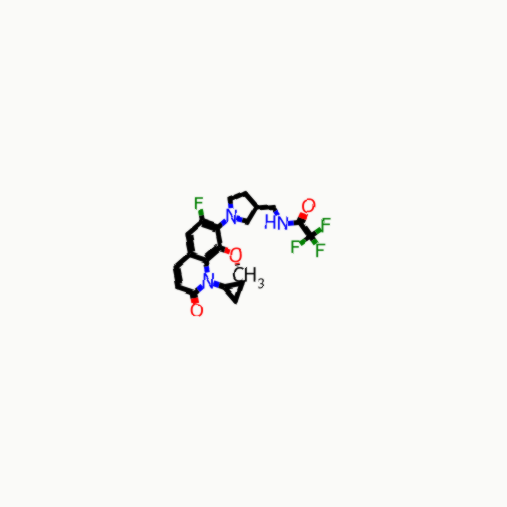 COc1c(N2CCC(CNC(=O)C(F)(F)F)C2)c(F)cc2ccc(=O)n(C3CC3)c12